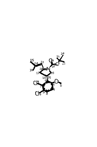 COc1ccc(Cl)c(Cl)c1[C@H]1C[C@@H](C=C(C)C)N(C(=O)OC(C)(C)C)C1